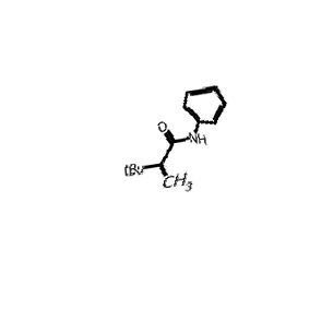 CC(C(=O)Nc1ccccc1)C(C)(C)C